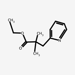 CCOC(=O)C(C)(C)Cc1ccccn1